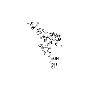 CNC[C@H](O)COc1ccc(Cl)c(-c2nc(-c3c(C)noc3C)c(C)c(N3CCC4(CC3)CN(S(C)(=O)=O)C4)n2)c1